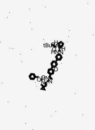 CC(C)(C)OC(=O)N1[C@@H]2CC[C@@H](C2)[C@H]1c1nc2ccc(-c3ccc4c(c3)oc3cc(-c5cnc([C@H]6CC7(CC7)CN6C(=O)OCc6ccccc6)[nH]5)ccc34)cc2[nH]1